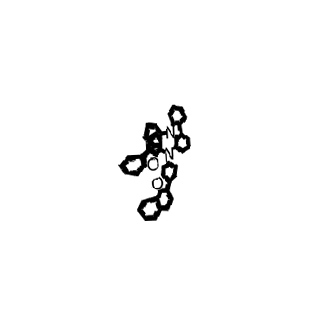 c1ccc(-n2c3ccccc3c3cccc(N(c4ccc5c(c4)oc4c6ccccc6ccc54)c4cccc5c4oc4ccccc45)c32)cc1